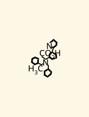 CC(c1ccccc1)N(Cc1ccccc1)C(CC(=O)O)c1cccc(-c2ccccn2)c1